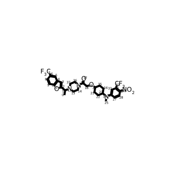 CC(c1cc2cc(C(F)(F)F)ccc2o1)N1CCN(C(=O)COC2CCC(N(C)c3ccc([N+](=O)[O-])c(C(F)(F)F)c3)CC2)CC1